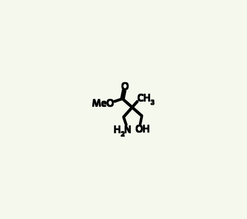 COC(=O)C(C)(CN)CO